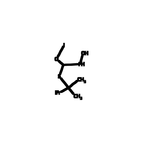 CC(C)C(C)(C)SC(OI)PO